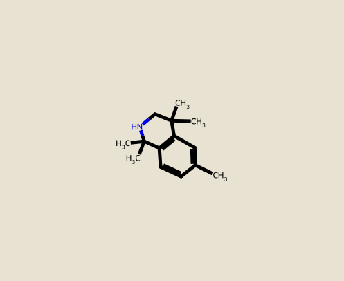 Cc1ccc2c(c1)C(C)(C)CNC2(C)C